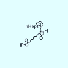 CCCCCCCC1(CC[C@H]2[C@H](CI)CC(=O)[C@@H]2CC=CCCCC(=O)OC(C)C)OCCO1